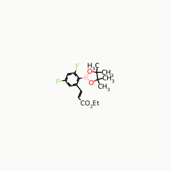 CCOC(=O)/C=C/c1cc(F)cc(F)c1B1OC(C)(C)C(C)(C)O1